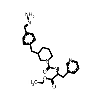 CCOC(=O)C(Cc1cccnc1)NC(=O)N1CCCC(Cc2ccc(C=NN)cc2)C1